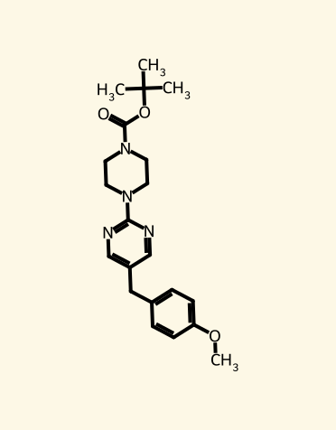 COc1ccc(Cc2cnc(N3CCN(C(=O)OC(C)(C)C)CC3)nc2)cc1